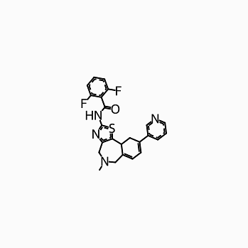 CN1CC2=CC=C(c3cccnc3)CC2c2sc(NC(=O)c3c(F)cccc3F)nc2C1